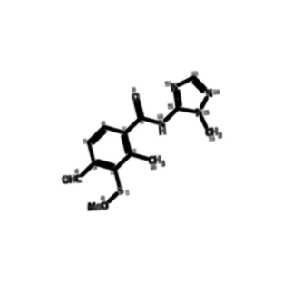 COSc1c(C=O)ccc(C(=O)Nc2ncnn2C)c1C